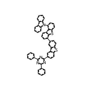 c1ccc(-c2nc(-c3ccccc3)nc(-c3ccc4sc5ccc(-c6cccc7c6sc6cccc(-n8c9ccccc9c9ccccc98)c67)cc5c4c3)n2)cc1